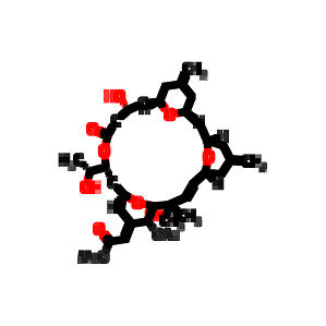 C=C1C[C@@H]2C[C@@H]3CC(=C)C[C@H](/C=C/C(C)(C)[C@]4(O)O[C@@H](C/C(=C\C(=O)OC)[C@@H]4OC(C)=O)C[C@H]([C@@H](C)O)OC(=O)C[C@H](O)C[C@H](C1)O2)O3